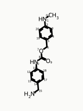 CNc1ccc(COC(=O)Nc2ccc(CN)cc2)cc1